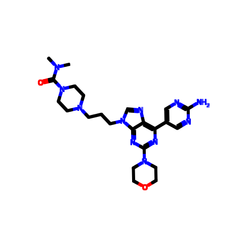 CN(C)C(=O)N1CCN(CCCn2cnc3c(-c4cnc(N)nc4)nc(N4CCOCC4)nc32)CC1